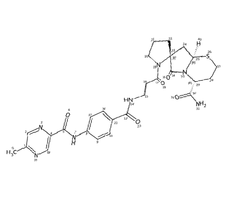 Cc1cnc(C(=O)Nc2ccc(C(=O)NCCC(=O)N3CCC[C@]34C[C@H]3SCC[C@H](C(N)=O)N3C4=O)cc2)cn1